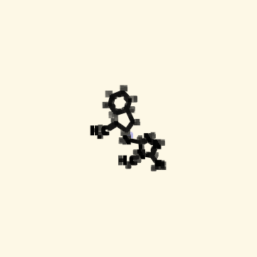 C=C1/C(=N/c2nnc(CC)n2C)Cc2ccccc21